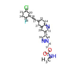 CNC(=O)OCCn1cc(-c2cnc3ccc(C#Cc4cc(Cl)ccc4F)cc3c2)cn1